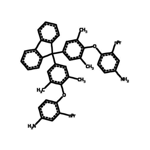 CCCc1cc(N)ccc1Oc1c(C)cc(C2(c3cc(C)c(Oc4ccc(N)cc4CCC)c(C)c3)c3ccccc3-c3ccccc32)cc1C